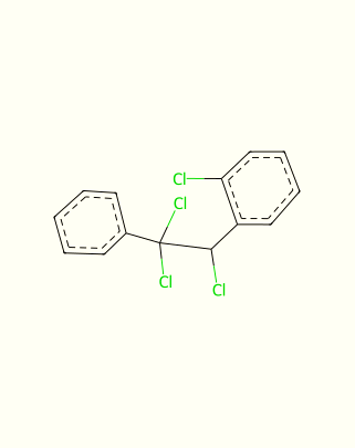 Clc1ccccc1C(Cl)C(Cl)(Cl)c1ccccc1